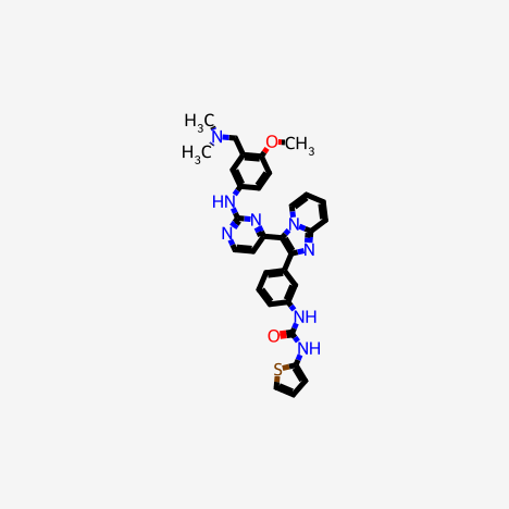 COc1ccc(Nc2nccc(-c3c(-c4cccc(NC(=O)Nc5cccs5)c4)nc4ccccn34)n2)cc1CN(C)C